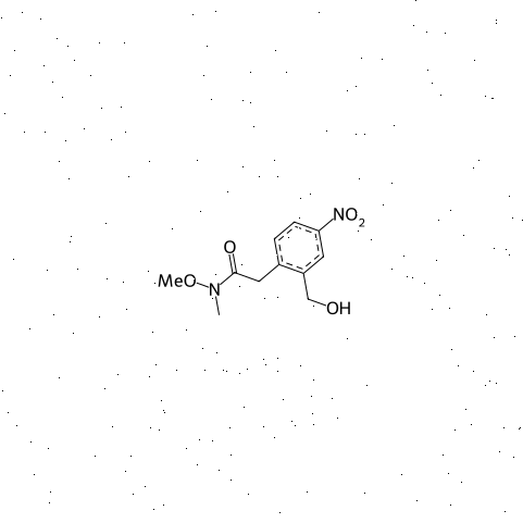 CON(C)C(=O)Cc1ccc([N+](=O)[O-])cc1CO